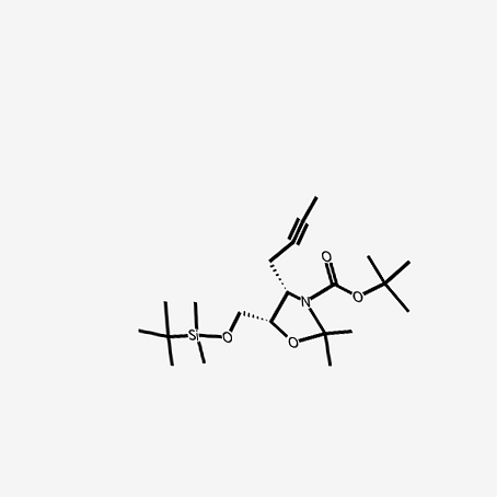 CC#CC[C@H]1[C@@H](CO[Si](C)(C)C(C)(C)C)OC(C)(C)N1C(=O)OC(C)(C)C